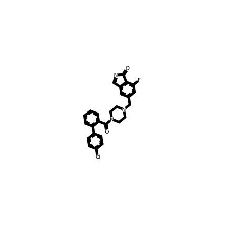 O=C1N=Cc2cc(CN3CCN(C(=O)c4ccccc4-c4ccc(Cl)cc4)CC3)cc(F)c21